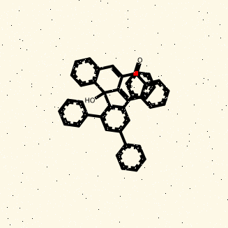 O=C1C2=Cc3ccccc3C(O)(c3c(-c4ccccc4)cc(-c4ccccc4)cc3-c3ccccc3)C2=Cc2ccccc21